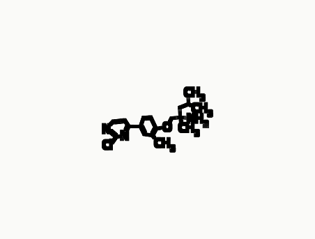 Cc1cc(-c2ccnc(Cl)n2)ccc1OC[C@@](C)(N)CC(C)C